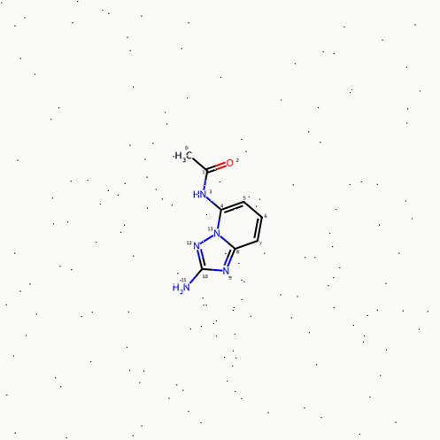 CC(=O)Nc1cccc2nc(N)nn12